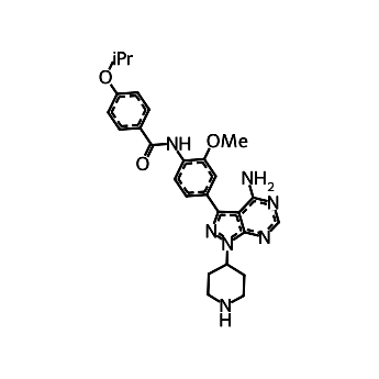 COc1cc(-c2nn(C3CCNCC3)c3ncnc(N)c23)ccc1NC(=O)c1ccc(OC(C)C)cc1